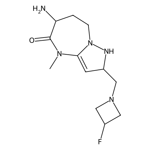 CN1C(=O)C(N)CCN2NC(CN3CC(F)C3)C=C21